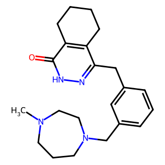 CN1CCCN(Cc2cccc(Cc3n[nH]c(=O)c4c3CCCC4)c2)CC1